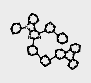 c1ccc(-c2cccc(-c3nc(-c4cccc(-c5cccc(-c6ccc7c8ccccc8c8ccccc8c7c6)c5)c4)nc4c3c3ccccc3n4-c3ccccc3)c2)cc1